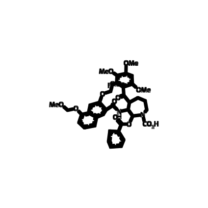 COCOc1cc2c(OCOC)cccc2cc1C(=O)NC1C(C(=O)c2c(OC)cc(OC)c(OC)c2F)CCCN(C(=O)O)C1OC(=O)c1ccccc1